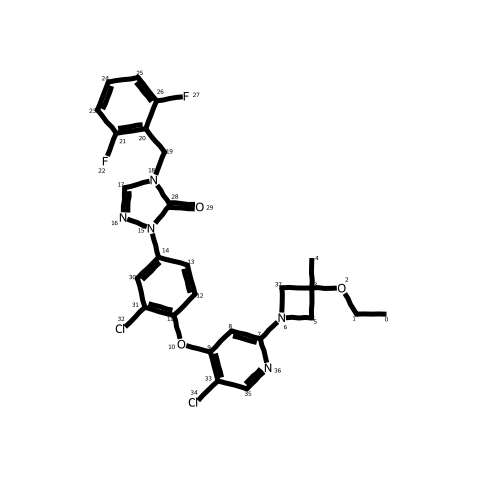 CCOC1(C)CN(c2cc(Oc3ccc(-n4ncn(Cc5c(F)cccc5F)c4=O)cc3Cl)c(Cl)cn2)C1